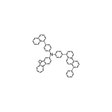 c1ccc(-c2cccc3c2ccc2c(-c4ccc(N(c5ccc(-c6cccc7ccccc67)cc5)c5ccc6c(c5)oc5ccccc56)cc4)cccc23)cc1